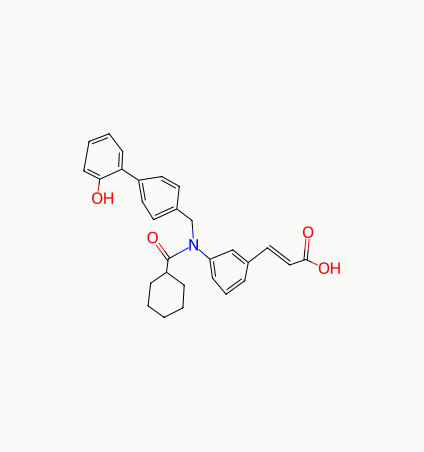 O=C(O)C=Cc1cccc(N(Cc2ccc(-c3ccccc3O)cc2)C(=O)C2CCCCC2)c1